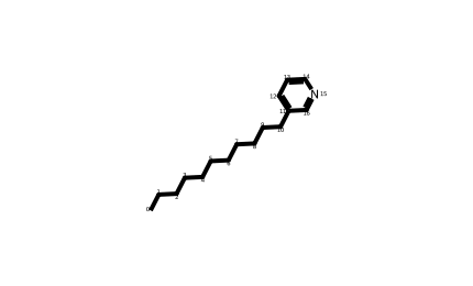 CCCCCCCCCCCc1cccnc1